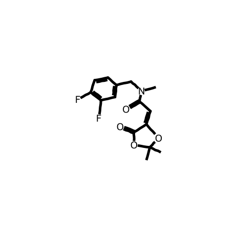 CN(Cc1ccc(F)c(F)c1)C(=O)/C=C1/OC(C)(C)OC1=O